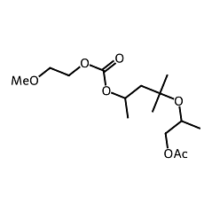 COCCOC(=O)OC(C)CC(C)(C)OC(C)COC(C)=O